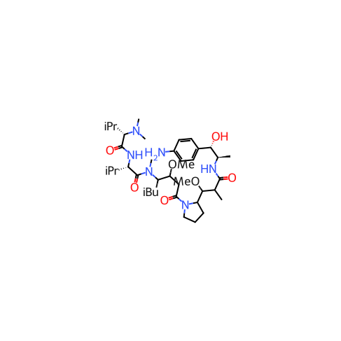 CCC(C)C(C(CC(=O)N1CCCC1C(OC)C(C)C(=O)N[C@H](C)[C@@H](O)c1ccc(N)cc1)OC)N(C)C(=O)[C@@H](NC(=O)[C@H](C(C)C)N(C)C)C(C)C